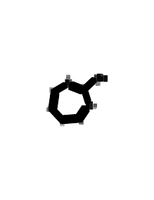 CC(C)(C)C1=NC=CC=C=N1